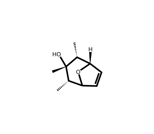 C[C@@H]1[C@@H]2C=CC(O2)[C@H](C)[C@]1(C)O